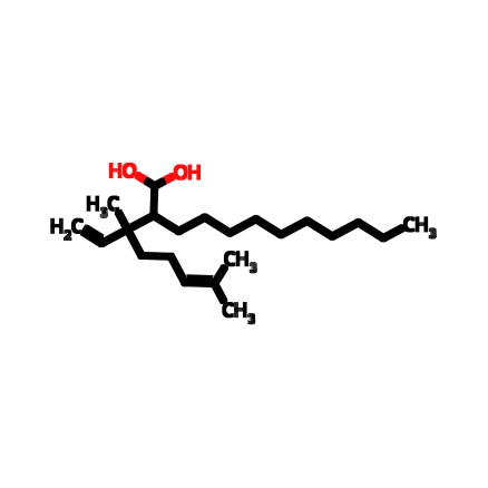 C=CC(C)(CCC=C(C)C)C(CCCCCCCCCC)C(O)O